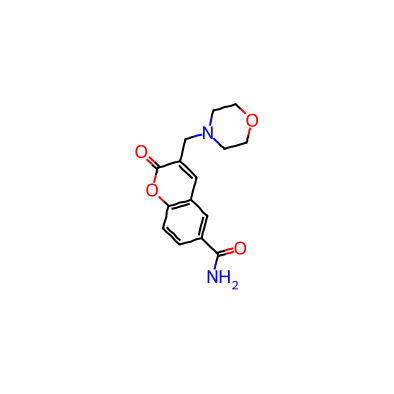 NC(=O)c1ccc2oc(=O)c(CN3CCOCC3)cc2c1